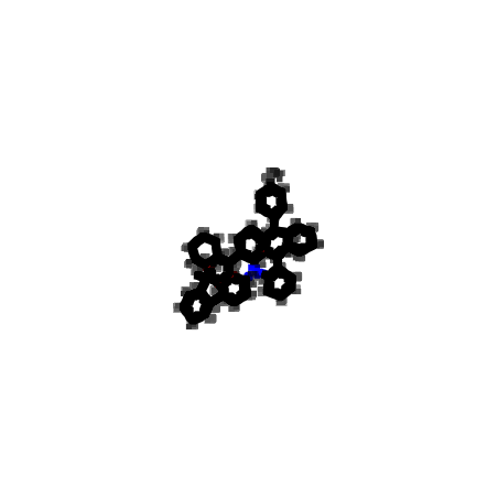 CC(C)c1ccc(-c2ccc(-c3ccccc3N(c3ccc4c(c3)C(C)(C)c3ccccc3-4)c3ccccc3-c3cccc4c3CCCC4)c3ccccc23)cc1